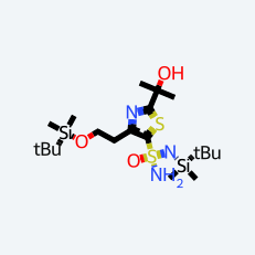 CC(C)(O)c1nc(CCO[Si](C)(C)C(C)(C)C)c(S(N)(=O)=N[Si](C)(C)C(C)(C)C)s1